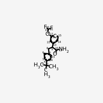 CC(C)(C)c1ccc(CC(C(N)=O)c2cccc(OC(F)F)c2)cc1